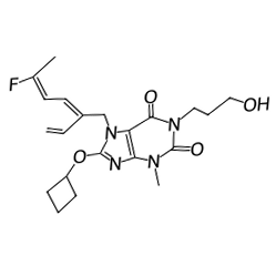 C=C/C(=C\C=C(/C)F)Cn1c(OC2CCC2)nc2c1c(=O)n(CCCO)c(=O)n2C